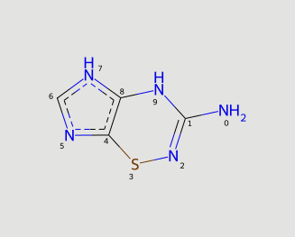 NC1=NSc2nc[nH]c2N1